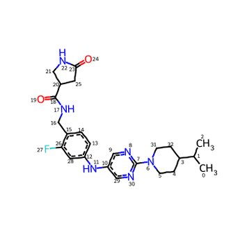 CC(C)C1CCN(c2ncc(Nc3ccc(CNC(=O)C4CNC(=O)C4)c(F)c3)cn2)CC1